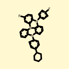 Fc1ccc(N2c3ccc(F)cc3B3c4ccccc4N(c4ccc(C5CCCCC5)cc4)c4cccc2c43)cc1